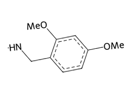 COc1ccc(C[NH])c(OC)c1